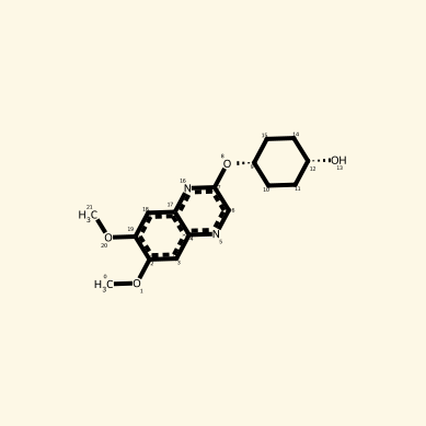 COc1cc2ncc(O[C@H]3CC[C@@H](O)CC3)nc2cc1OC